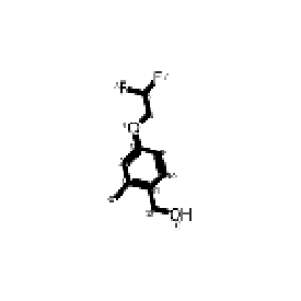 Cc1cc(OCC(F)F)ccc1CO